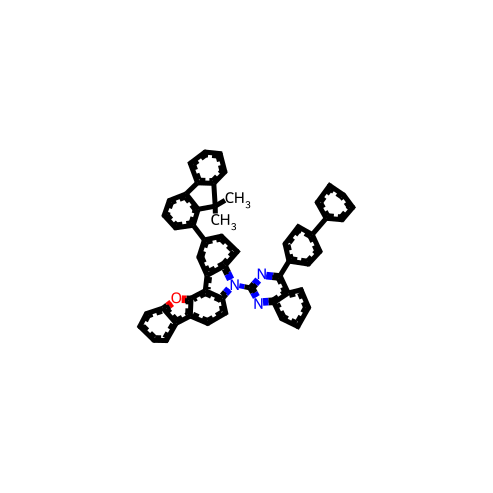 CC1(C)c2ccccc2-c2cccc(-c3ccc4c(c3)c3c5oc6ccccc6c5ccc3n4-c3nc(-c4ccc(-c5ccccc5)cc4)c4ccccc4n3)c21